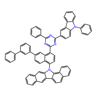 c1ccc(-c2cccc(-c3ccc4c(-n5c6cc7ccccc7cc6c6ccc7ccccc7c65)ccc(-c5nc(-c6ccccc6)nc(-c6ccc7c(c6)c6ccccc6n7-c6ccccc6)n5)c4c3)c2)cc1